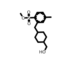 COS(=O)(=O)c1ccc(C)cc1CC1CCC(CO)CC1